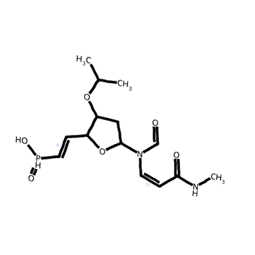 CNC(=O)/C=C\N(C=O)C1CC(OC(C)C)C(/C=C/[PH](=O)O)O1